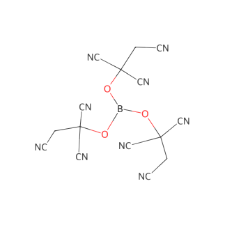 N#CCC(C#N)(C#N)OB(OC(C#N)(C#N)CC#N)OC(C#N)(C#N)CC#N